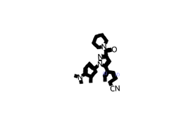 C/C=C(\C=C/CC#N)c1cc(C(=O)N2CCCCC2)nn1C1=CC=C(N(C)C)C(C)C1